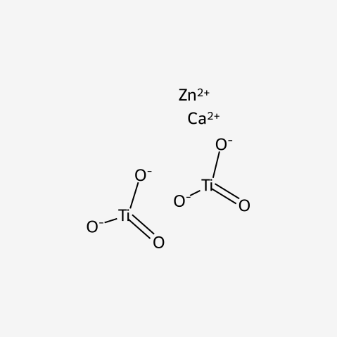 [Ca+2].[O]=[Ti]([O-])[O-].[O]=[Ti]([O-])[O-].[Zn+2]